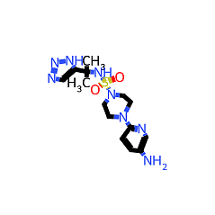 CC(C)(NS(=O)(=O)N1CCN(c2ccc(N)cn2)CC1)c1cnn[nH]1